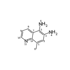 Cc1cc(N)c(N)c2cccnc12